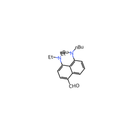 CCCCN(CCCC)c1cccc2c(C=O)ccc(N(CC)CC)c12